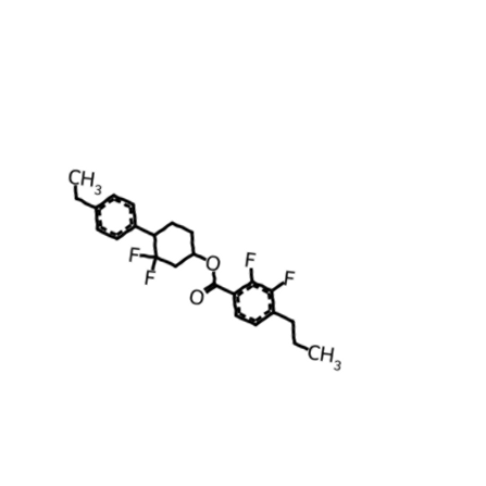 CCCc1ccc(C(=O)OC2CCC(c3ccc(CC)cc3)C(F)(F)C2)c(F)c1F